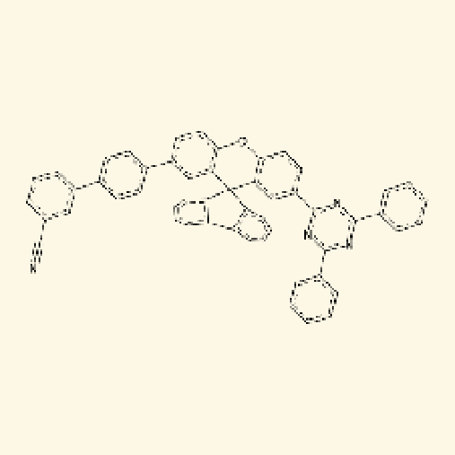 N#Cc1cccc(-c2ccc(-c3ccc4c(c3)C3(c5cc(-c6nc(-c7ccccc7)nc(-c7ccccc7)n6)ccc5O4)c4ccccc4-c4ccccc43)cc2)c1